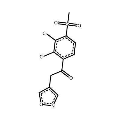 CS(=O)(=O)c1ccc(C(=O)Cc2cnoc2)c(Cl)c1Cl